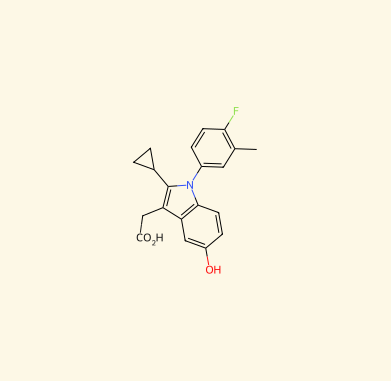 Cc1cc(-n2c(C3CC3)c(CC(=O)O)c3cc(O)ccc32)ccc1F